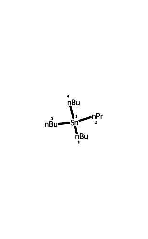 CCC[CH2][Sn]([CH2]CC)([CH2]CCC)[CH2]CCC